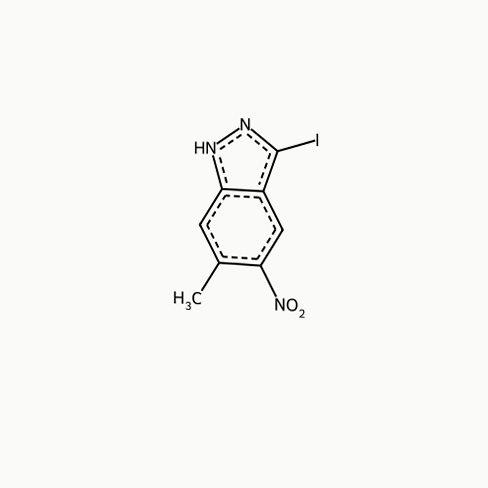 Cc1cc2[nH]nc(I)c2cc1[N+](=O)[O-]